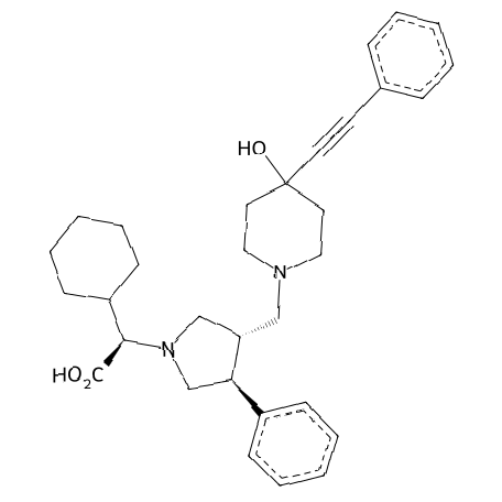 O=C(O)[C@@H](C1CCCCC1)N1C[C@H](CN2CCC(O)(C#Cc3ccccc3)CC2)[C@@H](c2ccccc2)C1